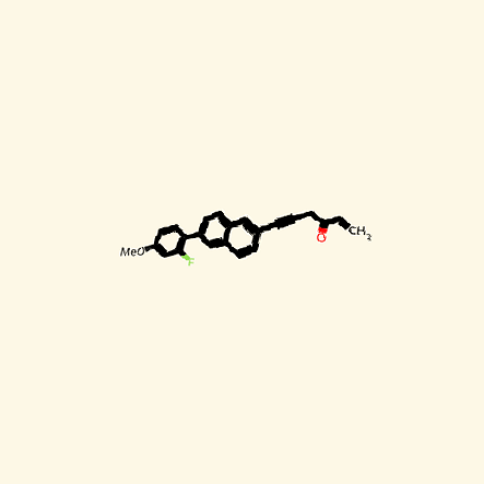 C=CC(=O)CC#Cc1ccc2cc(-c3ccc(OC)cc3F)ccc2c1